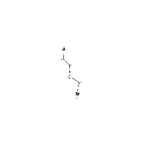 BrCCOCBr